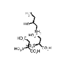 NCC(O)CN.O=C(O)CC(C(=O)O)S(=O)(=O)O.O=C(O)CC(C(=O)O)S(=O)(=O)O